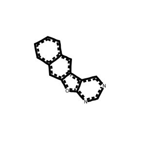 c1ccc2cc3c(cc2c1)oc1ncncc13